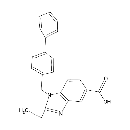 CCc1nc2cc(C(=O)O)ccc2n1Cc1ccc(-c2ccccc2)cc1